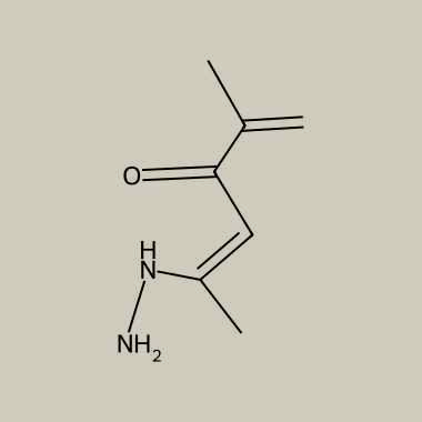 C=C(C)C(=O)/C=C(/C)NN